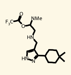 CNC(CNCc1c[nH]nc1C1CCC(C)(C)CC1)OC(=O)C(F)(F)F